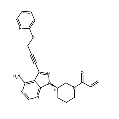 C=CC(=O)N1CCC[C@@H](n2nc(C#CCOc3ccccn3)c3c(N)ncnc32)C1